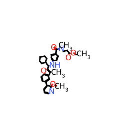 CCOC(=O)CCN(C)C(=O)c1ccc(NC(c2oc3ccc(-c4cccnc4OC)cc3c2C)C2CCCCC2)cc1